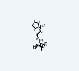 CCC[N+](C)(CC)CC.F[B-](F)(F)F.[H+]